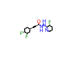 O=C(C#Cc1ccc(F)c(F)c1)NNc1ncccc1F